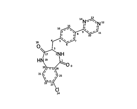 O=C1NC(Cc2ccc(-c3ccncn3)cc2)C(=O)Nc2ccc(Cl)cc21